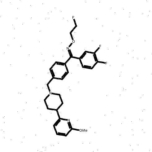 COc1cccc(C2CCN(Cc3ccc(C(=NOCCF)c4ccc(F)c(F)c4)cc3)CC2)n1